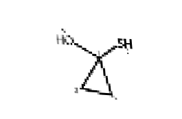 OC1(S)CC1